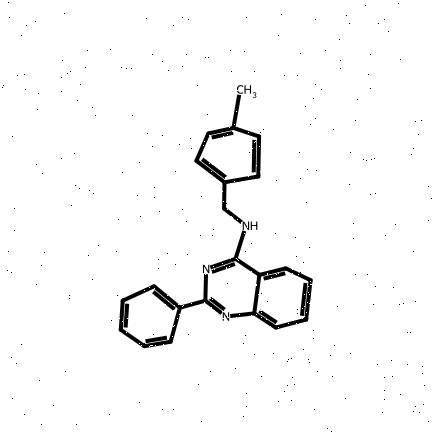 Cc1ccc(CNc2nc(-c3ccccc3)nc3ccccc23)cc1